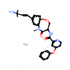 CN1C(=O)C(NC(=O)c2cc(Oc3ccccc3)ccn2)COc2ccc(C#CC(C)(C)N)cc21.Cl